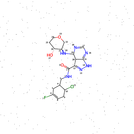 O=C(NCC1CC(F)=CCC1Cl)C1=NNC2=NC=NC(N[C@@H]3COCC[C@H]3O)C21